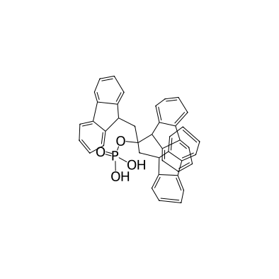 O=P(O)(O)OC(CC1c2ccccc2-c2ccccc21)(CC1c2ccccc2-c2ccccc21)C1c2ccccc2-c2ccccc21